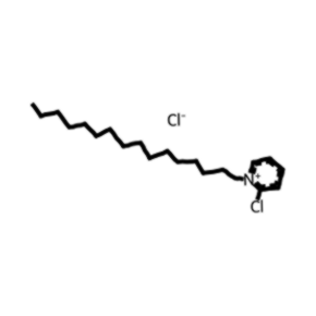 CCCCCCCCCCCCCCCC[n+]1ccccc1Cl.[Cl-]